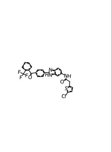 O=C(Cc1ccc(Cl)s1)Nc1ccc2nc(-c3ccc(C(=O)c4ccccc4C(F)(F)F)cc3)[nH]c2c1